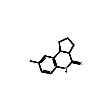 Cc1ccc2c(c1)C1CCCC1C(=S)N2